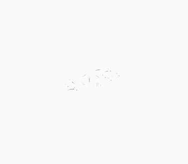 Nc1nc2ccc(-c3ccc(-c4nc[nH]n4)cc3)c(NC3CCOCC3)n2n1